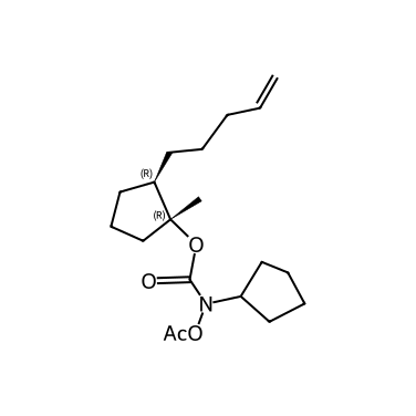 C=CCCC[C@@H]1CCC[C@@]1(C)OC(=O)N(OC(C)=O)C1CCCC1